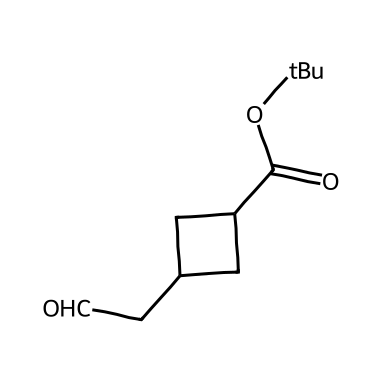 CC(C)(C)OC(=O)C1CC(CC=O)C1